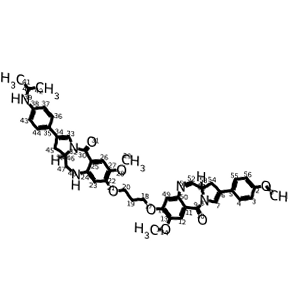 COc1ccc(C2=CN3C(=O)c4cc(OC)c(OCCCOc5cc6c(cc5OC)C(=O)N5C=C(c7ccc(NC(C)C)cc7)C[C@H]5CN6)cc4N=C[C@@H]3C2)cc1